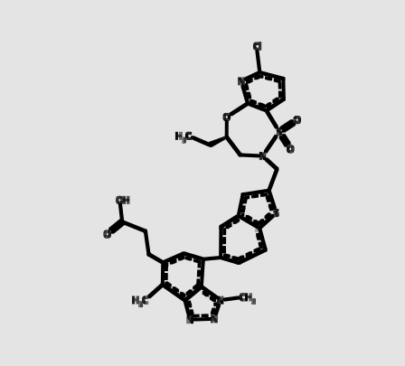 CC[C@@H]1CN(Cc2cc3cc(-c4cc(CCC(=O)O)c(C)c5nnn(C)c45)ccc3s2)S(=O)(=O)c2ccc(Cl)nc2O1